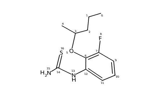 CCCC(C)Oc1c(F)cccc1NC(N)=S